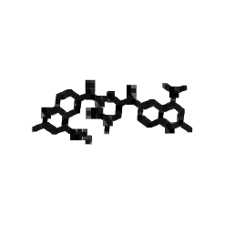 Cc1cc(N)c2cc(Nn3[nH]n(C)cc(Nc4ccc5nc(C)cc(N(C)C)c5c4)s3)ccc2n1